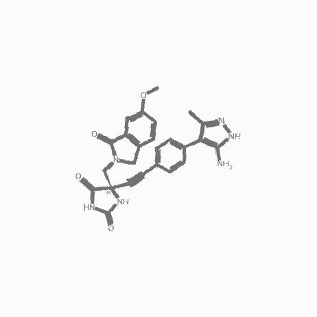 COc1ccc2c(c1)C(=O)N(C[C@@]1(C#Cc3ccc(-c4c(C)n[nH]c4N)cc3)NC(=O)NC1=O)C2